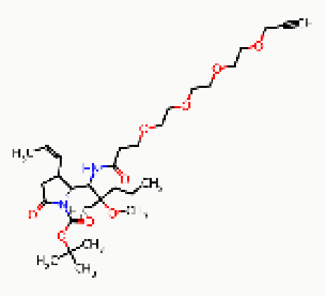 C#CCOCCOCCOCCOCCC(=O)N[C@H]([C@H]1[C@H](/C=C\C)CC(=O)N1C(=O)OC(C)(C)C)C(C)(CCC)OC